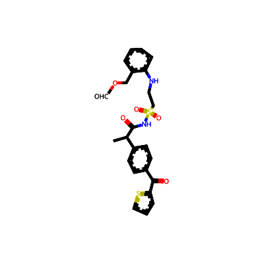 CC(C(=O)NS(=O)(=O)CCNc1ccccc1COC=O)c1ccc(C(=O)c2cccs2)cc1